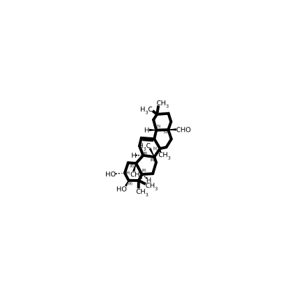 CC1(C)CC[C@]2(C=O)CC[C@]3(C)C(=CC[C@@H]4[C@@]5(C)C[C@@H](O)[C@H](O)C(C)(C)[C@@H]5CC[C@]43C)[C@@H]2C1